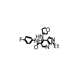 CCn1ncc2c(N[C@@H]3CCOC3)c(C(=O)Nc3ccc(F)cc3)cnc21